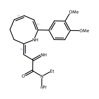 CCCN(CC)C(=O)C(=N)/C=C1/CC/C=C\C=C(\c2ccc(OC)c(OC)c2)N1